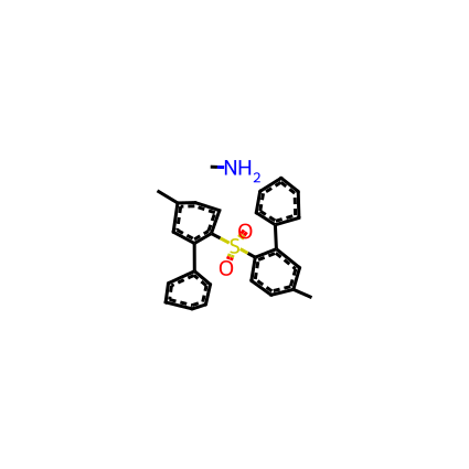 CN.Cc1ccc(S(=O)(=O)c2ccc(C)cc2-c2ccccc2)c(-c2ccccc2)c1